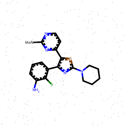 CNc1nccc(-c2sc(N3CCCCC3)nc2-c2cccc(N)c2F)n1